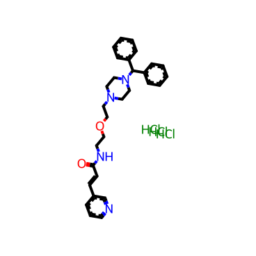 Cl.Cl.Cl.O=C(C=Cc1cccnc1)NCCOCCN1CCN(C(c2ccccc2)c2ccccc2)CC1